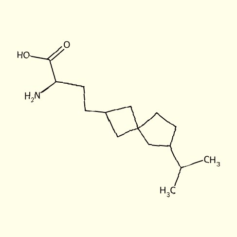 CC(C)C1CCC2(CC(CCC(N)C(=O)O)C2)C1